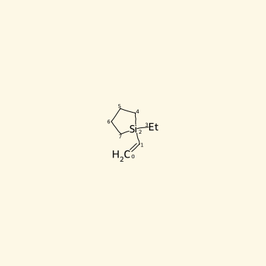 C=C[Si]1(CC)CCCC1